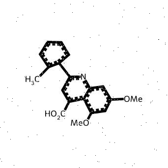 COc1cc(OC)c2c(C(=O)O)cc(-c3ccccc3C)nc2c1